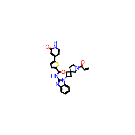 C=CC(=O)N1CC[C@]2(C1)C[C@H](n1c(NC(=O)c3ccc(-c4cc[nH]c(=O)c4)s3)nc3ccccc31)C2